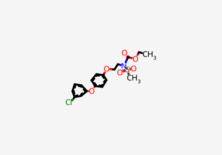 CCOC(=O)N(CCOc1ccc(Oc2cccc(Cl)c2)cc1)S(C)(=O)=O